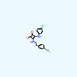 Cc1ccc(CCNc2c(Nc3ccc(Cl)cc3)c(=O)c2=O)cc1